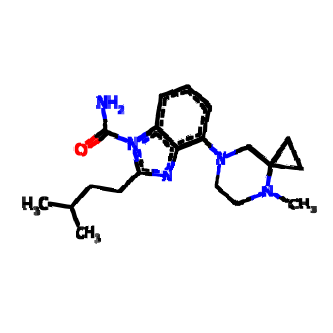 CC(C)CCc1nc2c(N3CCN(C)C4(CC4)C3)cccc2n1C(N)=O